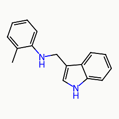 Cc1ccccc1NCc1c[nH]c2ccccc12